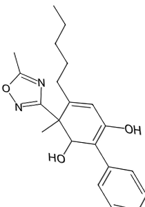 CCCCCC1=CC(O)=C(c2ccccc2)C(O)C1(C)c1noc(C)n1